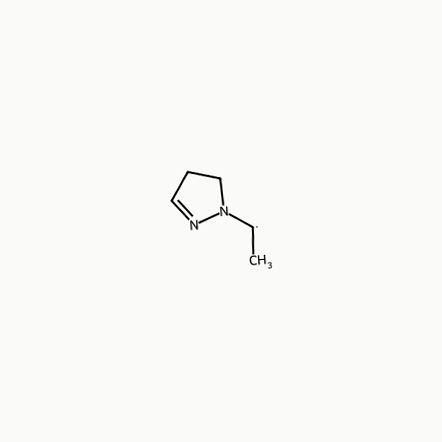 C[CH]N1CCC=N1